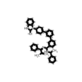 C=C(C)/C(=N\C(NC(C)c1ccccc1)c1cccc(-c2cccc(C3=CCC(N4c5ccccc5NC4CC)C=C3)c2)c1)c1ccccc1